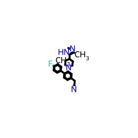 Cc1cc(-c2ccc(CC#N)cc2N2CCC(c3[nH]cnc3C)CC2)ccc1F